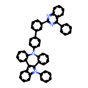 c1ccc(-c2nc(-c3cccc(-c4ccc(N5c6ccccc6-c6c(n(-c7ccccc7)c7ccccc67)-c6ccccc65)cc4)c3)nc3ccccc23)cc1